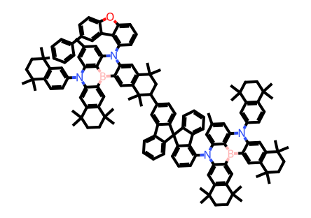 Cc1cc2c3c(c1)N(c1cccc4c1-c1ccccc1C41c4ccccc4-c4cc(C5CC(C)(C)c6cc7c(cc6C5(C)C)B5c6cc8c(cc6N(c6ccc9c(c6)C(C)(C)CCC9(C)C)c6cc(C)cc(c65)N7c5cccc6oc7ccc(-c9ccccc9)cc7c56)C(C)(C)CCC8(C)C)ccc41)c1cc4c(cc1B3c1cc3c(cc1N2c1ccc2c(c1)C(C)(C)CCC2(C)C)C(C)(C)CCC3(C)C)C(C)(C)CCC4(C)C